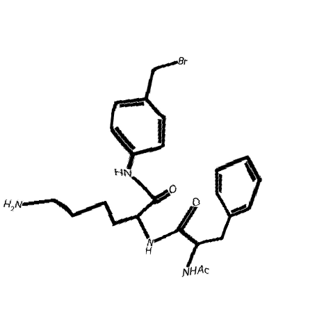 CC(=O)NC(Cc1ccccc1)C(=O)NC(CCCCN)C(=O)Nc1ccc(CBr)cc1